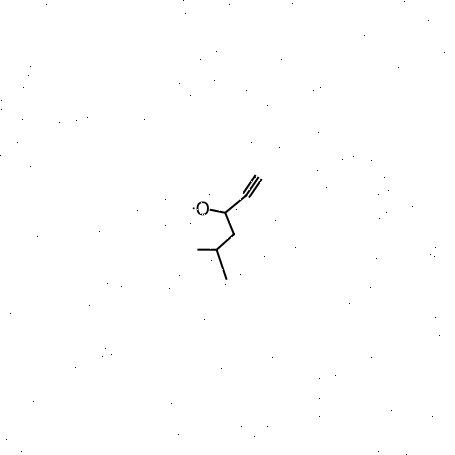 C#CC([O])CC(C)C